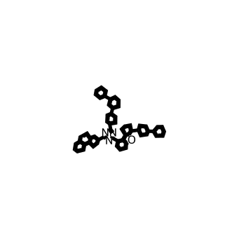 c1ccc(-c2ccc(-c3cccc4c3oc3cccc(-c5nc(-c6ccc(-c7cccc(-c8ccccc8)c7)cc6)nc(-c6ccc7c(ccc8ccccc87)c6)n5)c34)cc2)cc1